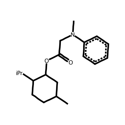 CC1CCC(C(C)C)C(OC(=O)CN(C)c2ccccc2)C1